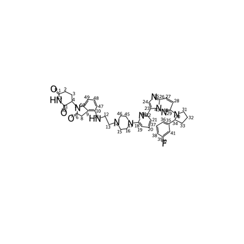 O=C1CCC(N2C(=O)Cc3c(NCCN4CCN(c5cccc(-c6cnc7ccc(N8CCCC8c8cccc(F)c8)nn67)n5)CC4)cccc32)C(=O)N1